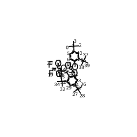 CC(C)(C)c1ccc(OS(=O)(=O)C(F)(OS(=O)(=O)C(F)F)c2ccc(C(C)(C)C)cc2C(C)(C)C)c(C(C)(C)C)c1